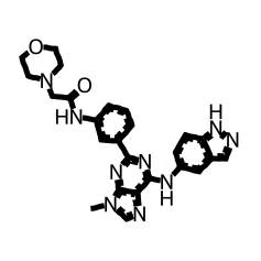 Cn1cnc2c(Nc3ccc4[nH]ncc4c3)nc(-c3cccc(NC(=O)CN4CCOCC4)c3)nc21